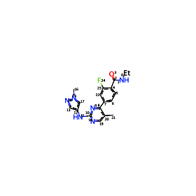 CCNC(=O)c1ccc(-c2nc(Nc3cnn(C)c3)ncc2C)cc1F